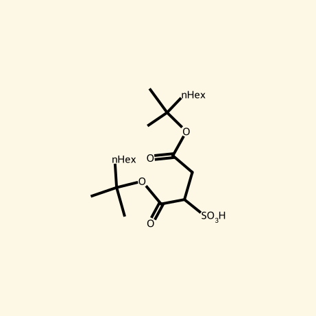 CCCCCCC(C)(C)OC(=O)CC(C(=O)OC(C)(C)CCCCCC)S(=O)(=O)O